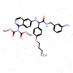 CC(C)(C)OC(=O)N(C(=O)OC(C)(C)C)c1nccc2cc(NC(C(=O)NCc3cccc(N)c3)c3ccc(OCCCC(=O)O)cc3)ccc12